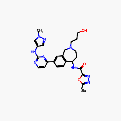 Cn1cc(Nc2nccc(-c3ccc4c(c3)CN(CCCO)CCC4NC(=O)c3nnc(C(C)(C)C)o3)n2)cn1